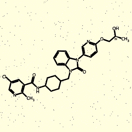 Cc1ncc(Cl)cc1C(=O)NC1CCC(Cn2c(=O)n(-c3ccc(OC[C@H](C)O)nc3)c3ccccc32)CC1